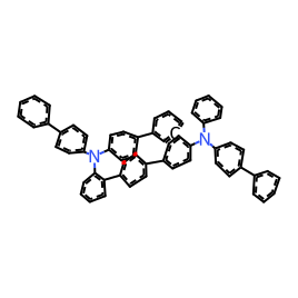 c1ccc(-c2ccc(N(c3ccccc3)c3ccc(-c4ccc(-c5ccccc5N(c5ccc(-c6ccccc6)cc5)c5ccc(-c6ccccc6)cc5)cc4)cc3)cc2)cc1